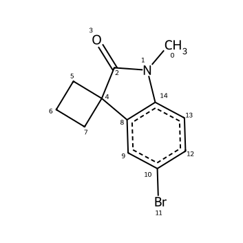 CN1C(=O)C2(CCC2)c2cc(Br)ccc21